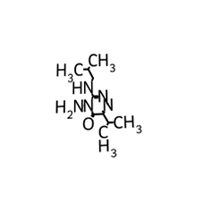 CC(C)CNc1nnc(C(C)C)c(=O)n1N